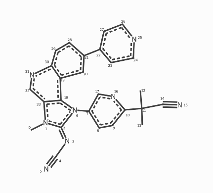 Cn1c(=NC#N)n(-c2ccc(C(C)(C)C#N)nc2)c2c3cc(-c4ccncc4)ccc3ncc21